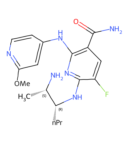 CCC[C@@H](Nc1nc(Nc2ccnc(OC)c2)c(C(N)=O)cc1F)[C@H](C)N